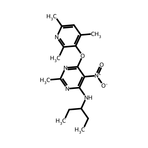 CCC(CC)Nc1nc(C)nc(Oc2c(C)cc(C)nc2C)c1[N+](=O)[O-]